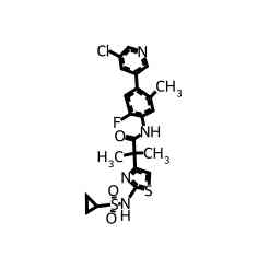 Cc1cc(NC(=O)C(C)(C)c2csc(NS(=O)(=O)C3CC3)n2)c(F)cc1-c1cncc(Cl)c1